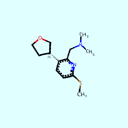 CSc1ccc([C@@H]2CCOC2)c(CN(C)C)n1